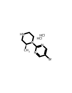 C[C@H]1CNCCN1c1ncc(Br)cn1.Cl.Cl